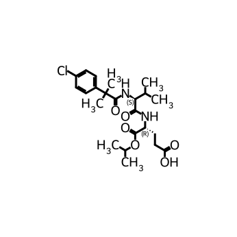 CC(C)OC(=O)[C@@H](CCC(=O)O)NC(=O)[C@@H](NC(=O)C(C)(C)c1ccc(Cl)cc1)C(C)C